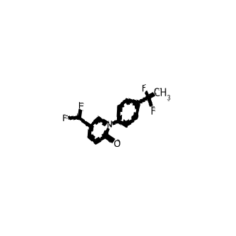 CC(F)(F)c1ccc(-n2cc(C(F)F)ccc2=O)cc1